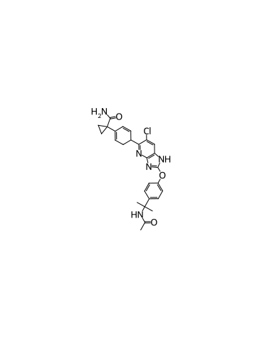 CC(=O)NC(C)(C)c1ccc(Oc2nc3nc(C4C=CC(C5(C(N)=O)CC5)=CC4)c(Cl)cc3[nH]2)cc1